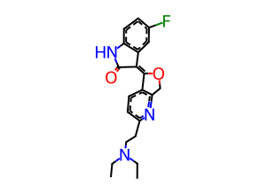 CCN(CC)CCc1ccc2c(n1)COC2=C1C(=O)Nc2ccc(F)cc21